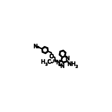 CC[C@H](COCc1ccc(C#N)cc1)n1cnc2c(N)nc3ccccc3c21